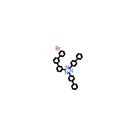 Brc1cccc(-c2cccc(-c3cccc(-c4nc(-c5ccc(-c6ccccc6)cc5)nc(-c5ccc(-c6ccccc6)cc5)n4)c3)c2)c1